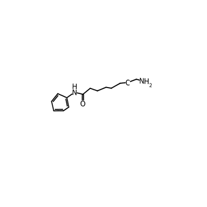 NCCCCCCCC(=O)Nc1ccccc1